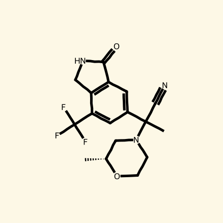 C[C@@H]1CN(C(C)(C#N)c2cc3c(c(C(F)(F)F)c2)CNC3=O)CCO1